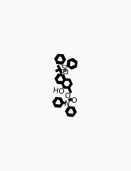 CC(C)(C)[Si](Oc1cccc2c1CCC(COC(=O)N(c1ccccc1)c1ccccc1)C2O)(c1ccccc1)c1ccccc1